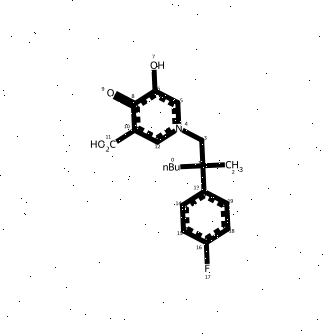 CCCCC(C)(Cn1cc(O)c(=O)c(C(=O)O)c1)c1ccc(F)cc1